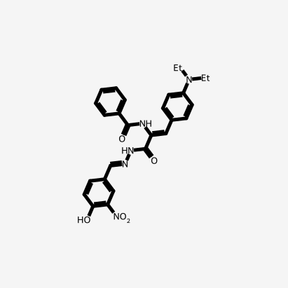 CCN(CC)c1ccc(/C=C(\NC(=O)c2ccccc2)C(=O)N/N=C/c2ccc(O)c([N+](=O)[O-])c2)cc1